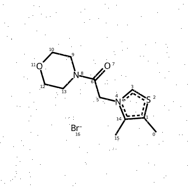 Cc1sc[n+](CC(=O)N2CCOCC2)c1C.[Br-]